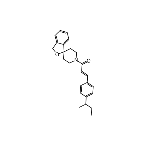 CCC(C)c1ccc(/C=C/C(=O)N2CCC3(CC2)OCc2ccccc23)cc1